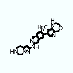 Cc1c(-c2cc3cc(Nc4cc5n(n4)CCNCC5)ncc3cc2F)cnc2c1NCCOC2